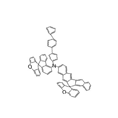 c1ccc(-c2ccc(-c3ccc(N(c4ccc5cc6c(cc5c4)C4(c5ccccc5Oc5ccccc54)c4cc5ccccc5cc4-6)c4cccc5c4-c4ccccc4C54c5ccccc5Oc5ccccc54)cc3)cc2)cc1